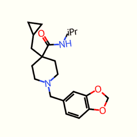 CC(C)NC(=O)C1(CC2CC2)CCN(Cc2ccc3c(c2)OCO3)CC1